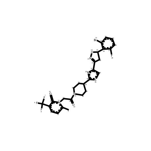 Cc1ccc(C(F)(F)F)c(=O)n1CC(=O)N1CCC(c2nc(C3=NOC(c4c(F)cccc4Br)C3)cs2)CC1